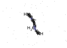 C=CC(/C=C/c1ccc(N2CCNCC2)cc1)=C\C=N\CCSSCC[n+]1ccc(/C=C/c2ccc(N3CCNCC3)cc2)cc1